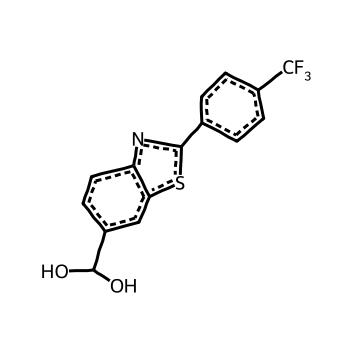 OC(O)c1ccc2nc(-c3ccc(C(F)(F)F)cc3)sc2c1